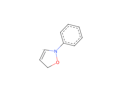 [C]1=CCON1c1ccccc1